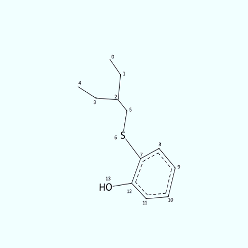 CCC(CC)CSc1ccccc1O